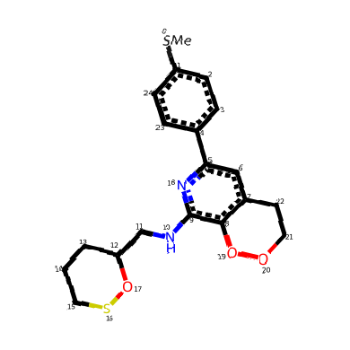 CSc1ccc(-c2cc3c(c(NCC4CCCSO4)n2)OOCC3)cc1